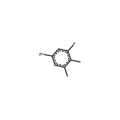 Cc1cc(C(C)C)cc(F)c1C